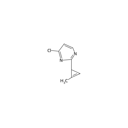 CC1=CC1c1nccc(Cl)n1